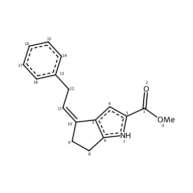 COC(=O)c1cc2c([nH]1)CCC2=CCc1ccccc1